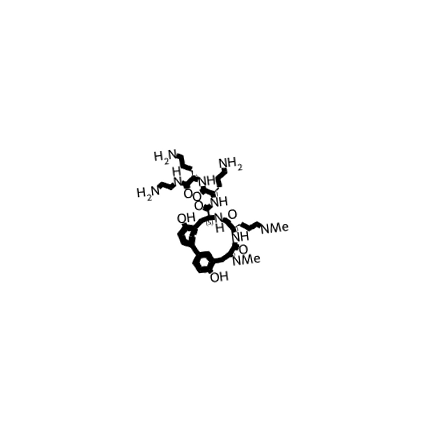 CNCCC[C@@H]1NC(=O)[C@@H](NC)Cc2cc(ccc2O)-c2ccc(O)c(c2)C[C@@H](C(=O)N[C@@H](CCCN)C(=O)N[C@@H](CCCN)C(=O)NCCN)NC1=O